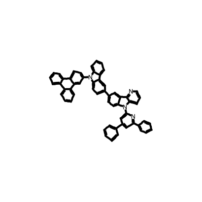 c1ccc(-c2cc(-c3ccccc3)nc(-n3c4ccc(-c5ccc6c(c5)c5ccccc5n6-c5ccc6c7ccccc7c7ccccc7c6c5)cc4c4ncccc43)c2)cc1